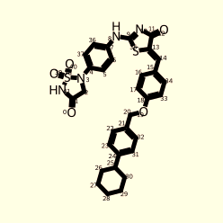 O=C1CN(c2ccc(NC3=NC(=O)C(=Cc4ccc(OCc5ccc(C6CCCCC6)cc5)cc4)S3)cc2)S(=O)(=O)N1